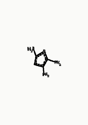 Bc1cc(P)c(P)s1